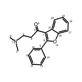 CN(C)CCC(=O)c1c(-c2ccccc2)oc2ccccc12